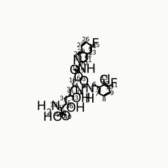 CN(C(=O)NCc1cccc(F)c1Cl)[C@H](COC(=O)Nc1cc2cc(F)ccc2cn1)CC(O)CC(O)[C@H](N)C(=O)O